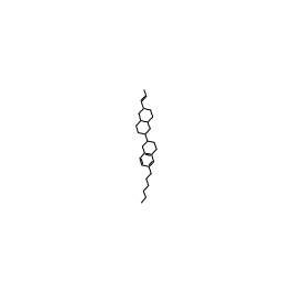 CC=CC1CCC2CC(C3CCc4cc(CCCCCC)ccc4C3)CCC2C1